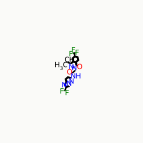 CC(C)c1nn(CC(=O)Nc2ccc3nc(C(F)F)cn3n2)c(=O)c2ccc(C(F)(F)F)cc12